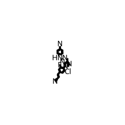 N#C/C=C/c1cc(F)c(-n2cnc3cnc(Nc4ccc(C#N)cc4)nc32)c(Cl)c1